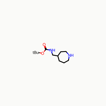 CC(C)(C)OC(=O)NCC1CCCNCC1